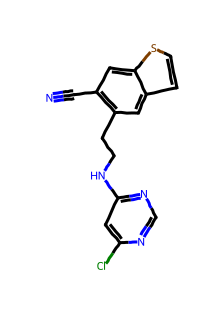 N#Cc1cc2sccc2cc1CCNc1cc(Cl)ncn1